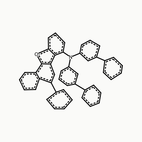 c1ccc(-c2cccc(N(c3cccc(-c4ccccc4)c3)c3cccc4oc5c6ccccc6c(-c6ccccc6)cc5c34)c2)cc1